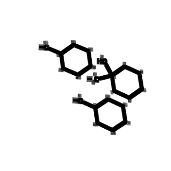 CC1(O)CCCCC1.OC1CCCCC1.OC1CCCCC1